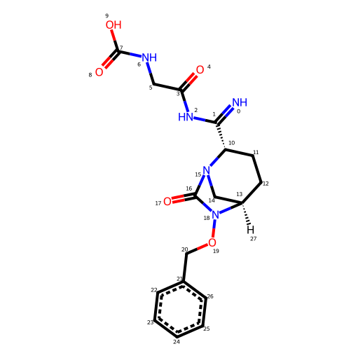 N=C(NC(=O)CNC(=O)O)[C@@H]1CC[C@@H]2CN1C(=O)N2OCc1ccccc1